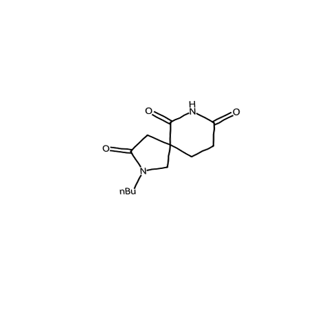 CCCCN1CC2(CCC(=O)NC2=O)CC1=O